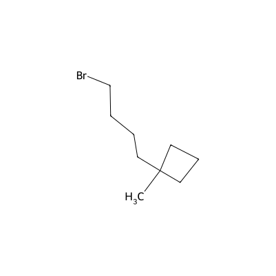 CC1(CCCCBr)CCC1